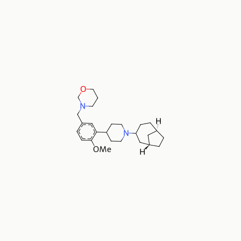 COc1ccc(CN2CCCOC2)cc1C1CCN(C2CC[C@H]3CC[C@H](C2)C3)CC1